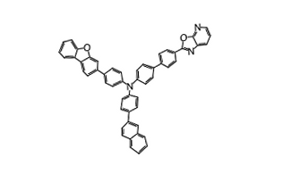 c1ccc2cc(-c3ccc(N(c4ccc(-c5ccc(-c6nc7cccnc7o6)cc5)cc4)c4ccc(-c5ccc6c(c5)oc5ccccc56)cc4)cc3)ccc2c1